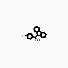 OC(c1ccc(Br)cc1)C1c2ccccc2-c2ccccc21